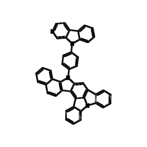 c1ccc2c(c1)ccc1c3c4c5ccccc5n5c6ccccc6c(cc3n(-c3ccc(-n6c7ccccc7c7ccncc76)cc3)c21)c45